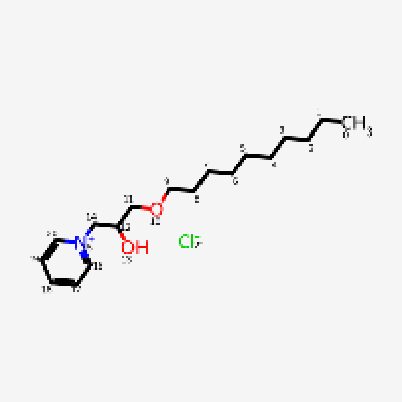 CCCCCCCCCCOCC(O)C[n+]1ccccc1.[Cl-]